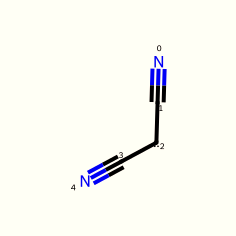 N#C[C]C#N